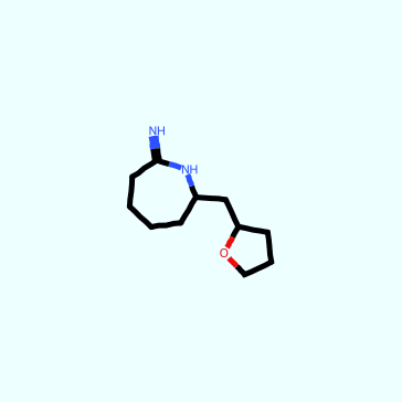 N=C1CCCCC(CC2CCCO2)N1